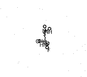 O=C(Nc1ccc(F)cc1F)N(CCCCCSc1nc(-c2ccccc2)c(-c2ccccc2)[nH]1)CCN1CCOCC1